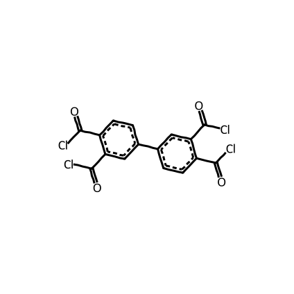 O=C(Cl)c1ccc(-c2ccc(C(=O)Cl)c(C(=O)Cl)c2)cc1C(=O)Cl